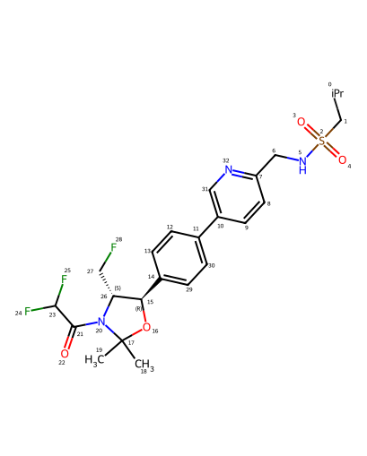 CC(C)CS(=O)(=O)NCc1ccc(-c2ccc([C@H]3OC(C)(C)N(C(=O)C(F)F)[C@@H]3CF)cc2)cn1